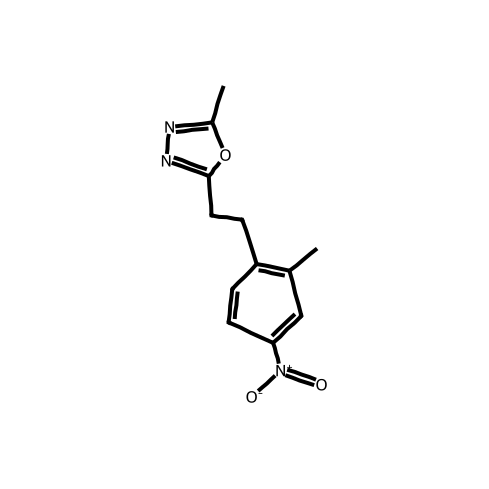 Cc1nnc(CCc2ccc([N+](=O)[O-])cc2C)o1